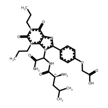 CCCn1c(=O)c2nc(-c3ccc(OCC(=O)O)cc3)n(C(NC(=O)[C@@H](N)CC(C)C)C(N)=O)c2n(CCC)c1=O